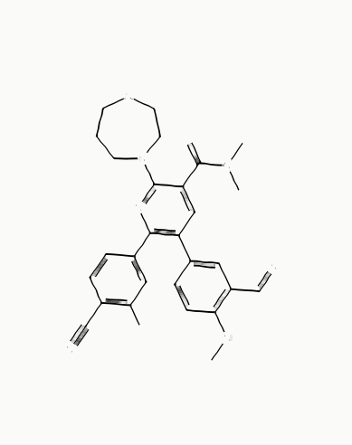 CNc1ccc(-c2cc(C(=O)N(C)C)c(N3CCCNCC3)nc2-c2ccc(C#N)c(F)c2)cc1C=N